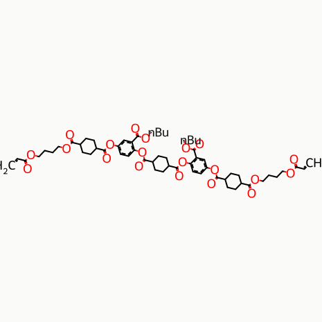 C=CC(=O)OCCCCOC(=O)C1CCC(C(=O)Oc2ccc(OC(=O)C3CCC(C(=O)Oc4ccc(OC(=O)C5CCC(C(=O)OCCCCOC(=O)C=C)CC5)cc4C(=O)OCCCC)CC3)c(C(=O)OCCCC)c2)CC1